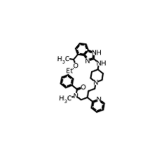 CCOC(C)c1cccc2[nH]c(NC3CCN(CCC(CN(C)C(=O)c4ccccc4)c4ccccn4)CC3)nc12